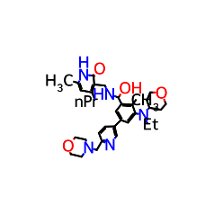 CCCc1cc(C)[nH]c(=O)c1CNC(O)c1cc(-c2ccc(CN3CCOCC3)nc2)cc(N(CC)C2CCOCC2)c1C